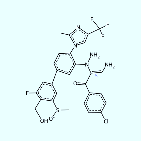 Cc1nc(C(F)(F)F)cn1-c1ccc(-c2cc(F)c(CO)c([S+](C)[O-])c2)cc1N(N)/C(=C\N)C(=O)c1ccc(Cl)cc1